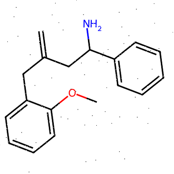 C=C(Cc1ccccc1OC)CC(N)c1ccccc1